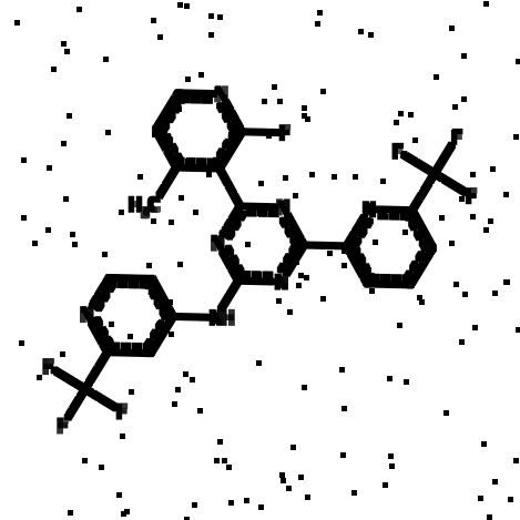 Cc1ccnc(F)c1-c1nc(Nc2ccnc(C(F)(F)F)c2)nc(-c2cccc(C(F)(F)F)n2)n1